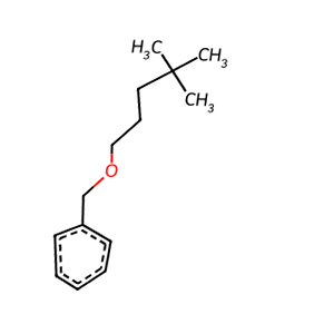 CC(C)(C)CCCOCc1ccccc1